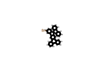 Brc1ccc2c(c1)-c1cc3c4ccccc4c4ccccc4c3cc1C21c2ccccc2-c2ccccc21